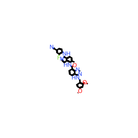 COc1ccc(CNc2ncnc3c(C(=O)Nc4c(C)ccc5c(Nc6ccc(C#N)cc6F)nccc45)cccc23)c(OC)c1